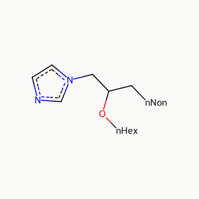 CCCCCCCCCCC(Cn1ccnc1)OCCCCCC